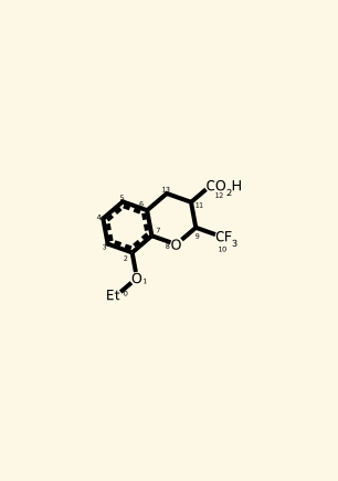 CCOc1cccc2c1OC(C(F)(F)F)C(C(=O)O)C2